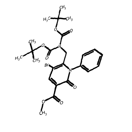 COC(=O)c1cc(Br)c(CN(C(=O)OC(C)(C)C)C(=O)OC(C)(C)C)n(-c2ccccc2)c1=O